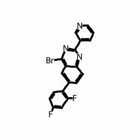 Fc1ccc(-c2ccc3nc(-c4cccnc4)nc(Br)c3c2)c(F)c1